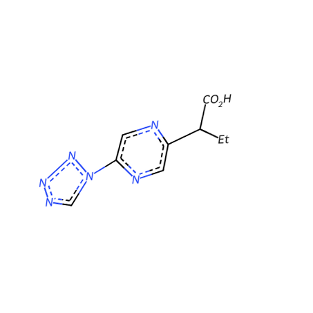 CCC(C(=O)O)c1cnc(-n2cnnn2)cn1